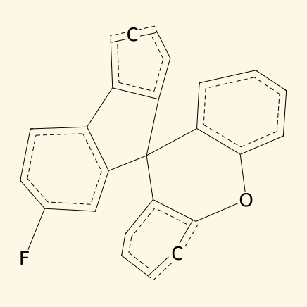 Fc1ccc2c(c1)C1(c3ccccc3Oc3ccccc31)c1ccccc1-2